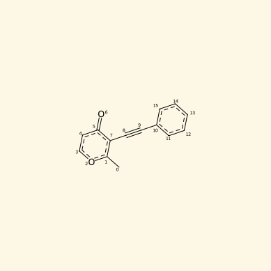 Cc1occc(=O)c1C#Cc1ccccc1